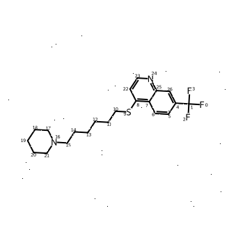 FC(F)(F)c1ccc2c(SCCCCCCN3CCCCC3)ccnc2c1